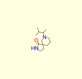 CC(C)C(C)N1CCCC2(CCNC2=O)C1